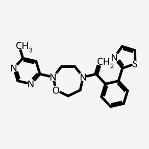 C=C(c1ccccc1-c1nccs1)N1CCON(c2cc(C)ncn2)CC1